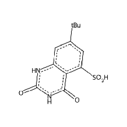 CC(C)(C)c1cc(S(=O)(=O)O)c2c(=O)[nH]c(=O)[nH]c2c1